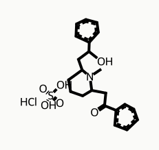 CN1C(CC(=O)c2ccccc2)CCCC1CC(O)c1ccccc1.Cl.O=S(=O)(O)O